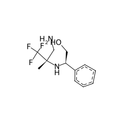 C[C@@](CN)(N[C@@H](CO)c1ccccc1)C(F)(F)F